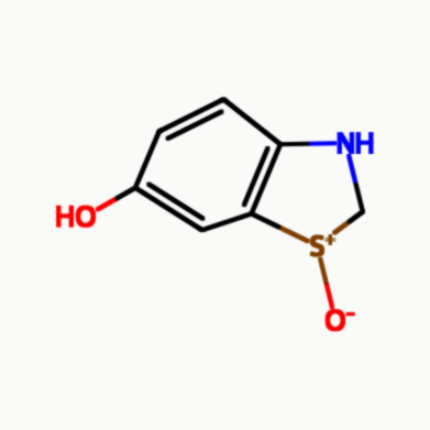 [O-][S+]1CNc2ccc(O)cc21